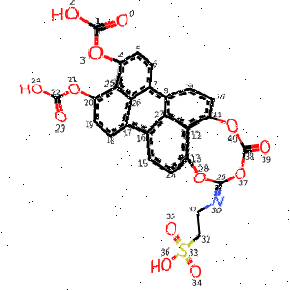 O=C(O)Oc1ccc2c3ccc4c5c(ccc(c6ccc(OC(=O)O)c1c26)c53)OC(=NCCS(=O)(=O)O)OC(=O)O4